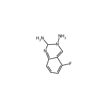 NC1N=c2cccc(F)c2=CN1N